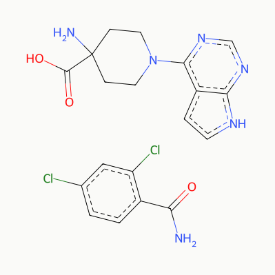 NC(=O)c1ccc(Cl)cc1Cl.NC1(C(=O)O)CCN(c2ncnc3[nH]ccc23)CC1